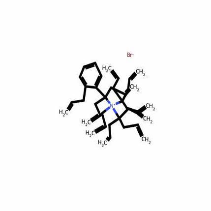 C=CCc1ccccc1C(CC=C)(CC=C)[N+](CC=C)(C(CC=C)(CC=C)CC=C)C(CC=C)(CC=C)CC=C.[Br-]